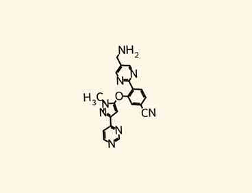 Cn1nc(-c2ccncn2)cc1Oc1cc(C#N)ccc1-c1ncc(CN)cn1